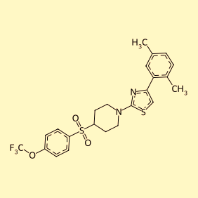 Cc1ccc(C)c(-c2csc(N3CCC(S(=O)(=O)c4ccc(OC(F)(F)F)cc4)CC3)n2)c1